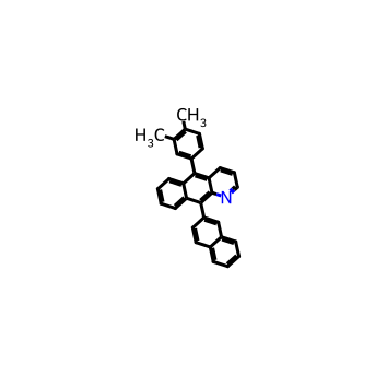 Cc1ccc(-c2c3ccccc3c(-c3ccc4ccccc4c3)c3ncccc23)cc1C